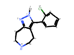 CCn1nc2c(c1-c1ccccc1Cl)CCNCC2